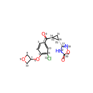 O=C(c1ccc(OC2COC2)c(Cl)c1)[C@H]1C[C@@H]1c1noc(=O)[nH]1